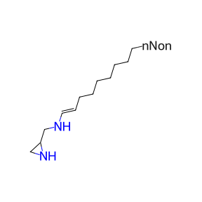 CCCCCCCCCCCCCCCCC=CNCC1CN1